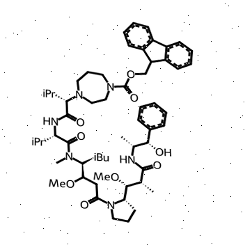 CC[C@H](C)[C@@H](C(CC(=O)N1CCC[C@H]1[C@H](OC)[C@@H](C)C(=O)N[C@H](C)[C@@H](O)c1ccccc1)OC)N(C)C(=O)[C@@H](NC(=O)[C@H](C(C)C)N1CCCN(C(=O)OCC2c3ccccc3-c3ccccc32)CC1)C(C)C